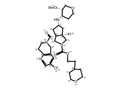 CO[C@@H]1COCC[C@@H]1N[C@@H]1C[C@H]2CN(C(=O)OCCC3CCOCC3)C[C@@]2(C(=O)N2CCc3ncc(C(F)(F)F)cc3C2)C1